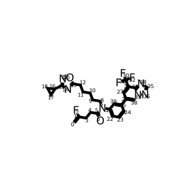 C=C(F)CCC(=O)N(CCCCCc1nc(C2CC2)no1)c1cccc(-c2cc(C(F)(F)F)c3ncnn3c2)c1